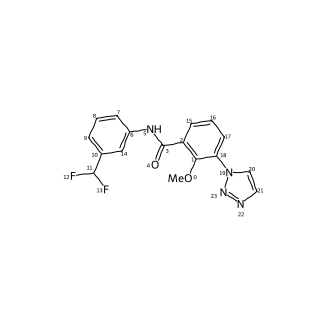 COc1c(C(=O)Nc2cccc(C(F)F)c2)cccc1-n1ccnn1